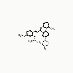 COc1ccc(C=CC(=O)c2cc(N3CCN(C)CC3)ccc2-c2ccccc2C)c(CN(C)C)c1